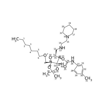 CCCCCCCOC[C@@]12O[C@@H](CNCCN3CCCCC3)[C@@H](OC(=O)Nc3ccc(C)cc3)[C@@H]1OC(C)(C)O2